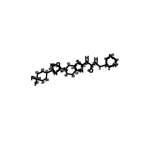 O=C(NCc1cncnc1)Nc1nc2c(s1)CN(c1nc(C3CCC(F)(F)CC3)no1)CC2